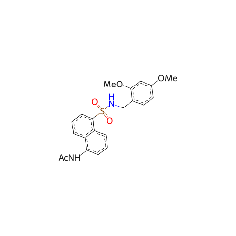 COc1ccc(CNS(=O)(=O)c2cccc3c(NC(C)=O)cccc23)c(OC)c1